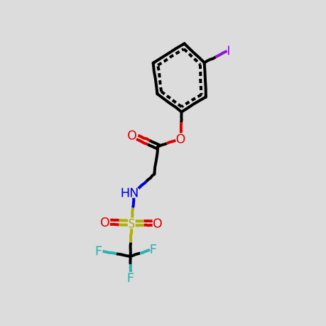 O=C(CNS(=O)(=O)C(F)(F)F)Oc1cccc(I)c1